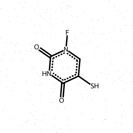 O=c1[nH]c(=O)n(F)cc1S